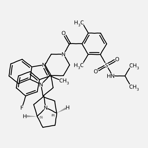 Cc1ccc(S(=O)(=O)NC(C)C)c(C)c1C(=O)N1CCC(CCN2[C@@H]3CC[C@H]2CC(n2c(C)nc4ccccc42)C3)(c2cccc(F)c2)CC1